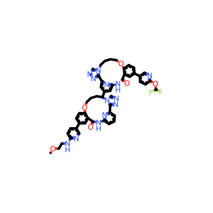 COCCNc1ccc(-c2ccc3c(c2)C(=O)Nc2cccc(n2)-c2nncn2C(c2cc4nc(c2)-c2nncn2CCCCOc2ccc(-c5ccc(OC(F)F)nc5)cc2C(=O)N4)CCCO3)cn1